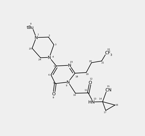 CC(C)(C)N1CCN(c2cc(=O)n(CC(=O)NC3(C#N)CC3)c(CCCC(F)(F)F)n2)CC1